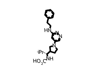 C[C](C)[C@@H](NC(=O)O)C1CCN(c2cnnc(NCCc3ccccc3)c2)C1